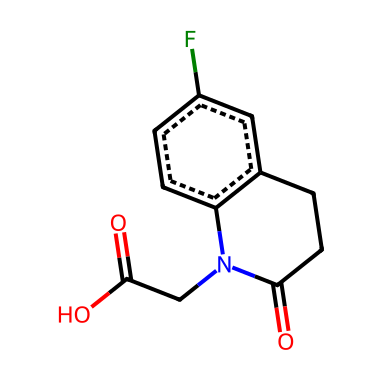 O=C(O)CN1C(=O)CCc2cc(F)ccc21